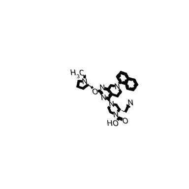 CCN1CCC[C@H]1COc1nc2c(c(N3CCN(C(=O)O)[C@@H](CC#N)C3)n1)CCN(c1cccc3ccccc13)C2